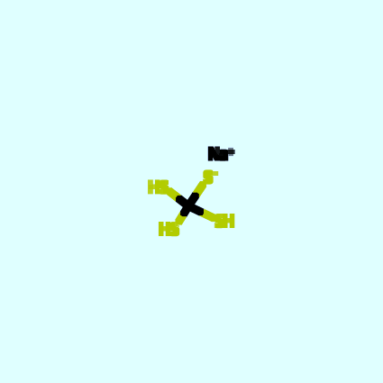 [Na+].[S-]C(S)(S)S